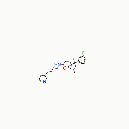 CCCC(C)(c1cccc(F)c1)C1(/C=C\C(=O)NCCCCc2cccnc2)CC1